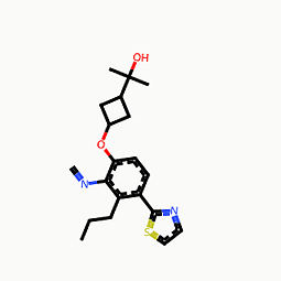 C=Nc1c(OC2CC(C(C)(C)O)C2)ccc(-c2nccs2)c1CCC